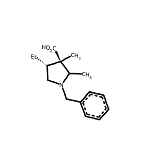 CC[C@H]1CN(Cc2ccccc2)C(C)[C@]1(C)C(=O)O